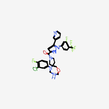 O=C(c1cc(-c2cccnc2)n(-c2ccc(C(F)(F)F)c(F)c2)n1)N1CCC2(CC1)COCNCN2c1ccc(F)c(Cl)c1